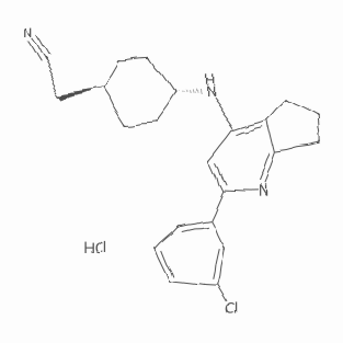 Cl.N#CC[C@H]1CC[C@H](Nc2cc(-c3cccc(Cl)c3)nc3c2CCC3)CC1